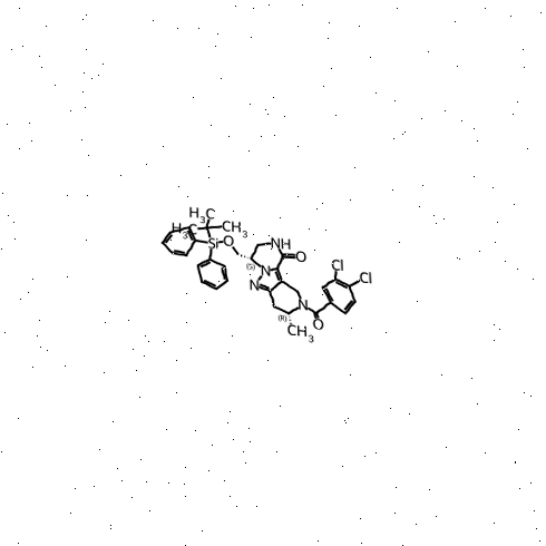 C[C@@H]1Cc2nn3c(c2CN1C(=O)c1ccc(Cl)c(Cl)c1)C(=O)NC[C@H]3CO[Si](c1ccccc1)(c1ccccc1)C(C)(C)C